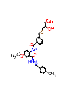 COc1ccc(NC(=O)c2cccc(CSCC(O)CO)c2)c(C(=O)NN=Cc2ccc(C)cc2)c1